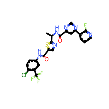 CC(NC(=O)c1cc(-c2cccnc2F)ncn1)c1ncc(C(=O)Nc2ccc(Cl)c(C(F)(F)F)c2)s1